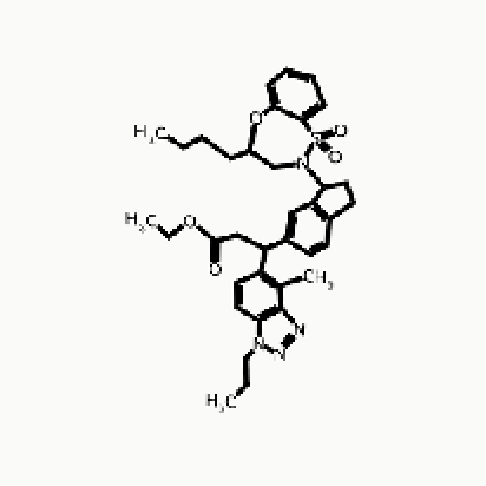 CCCCC1CN(C2CCc3ccc(C(CC(=O)OCC)c4ccc5c(nnn5CCC)c4C)cc32)S(=O)(=O)c2ccccc2O1